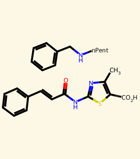 CCCCCNCc1ccccc1.Cc1nc(NC(=O)C=Cc2ccccc2)sc1C(=O)O